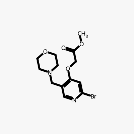 COC(=O)COc1cc(Br)ncc1CN1CCOCC1